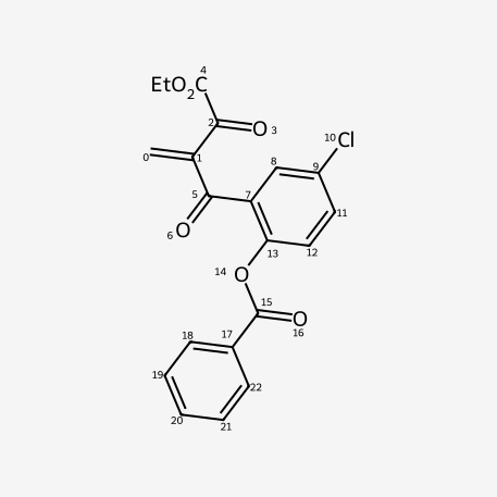 C=C(C(=O)C(=O)OCC)C(=O)c1cc(Cl)ccc1OC(=O)c1ccccc1